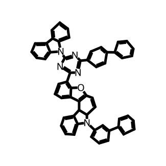 C1=CC2C(c3ccccc3N2c2cccc(-c3ccccc3)c2)c2c1oc1c(-c3nc(-c4ccc(-c5ccccc5)cc4)nc(-n4c5ccccc5c5ccccc54)n3)cccc21